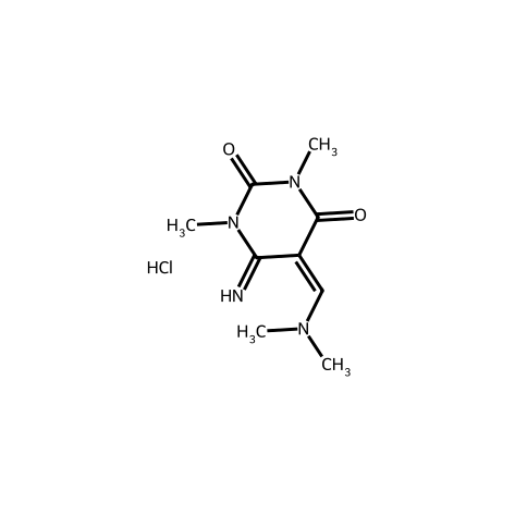 CN(C)C=C1C(=N)N(C)C(=O)N(C)C1=O.Cl